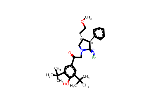 COCC[C@H]1CN(CC(=O)c2cc(C(C)(C)C)c(O)c(C(C)(C)C)c2)/C(=N\Br)[C@@H]1c1ccccc1